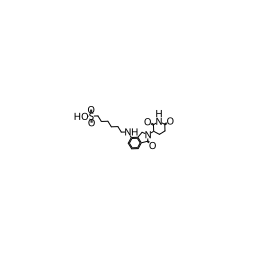 O=C1CCC(N2Cc3c(NCCCCCCS(=O)(=O)O)cccc3C2=O)C(=O)N1